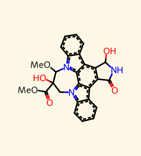 COC(=O)C1(O)Cn2c3ccccc3c3c4c(c5c6ccccc6n(c5c32)C1OC)C(O)NC4=O